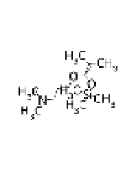 CC(C)=C(OCCCN(C)C)O[Si](C)(C)C